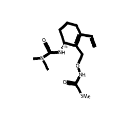 C=CC1=C(CONC(=O)SC)[C@H](NC(=O)N(C)C)CCC1